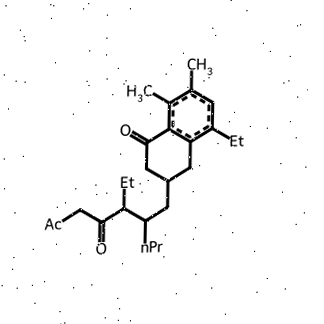 CCCC(CC1CC(=O)c2c(C)c(C)cc(CC)c2C1)C(CC)C(=O)CC(C)=O